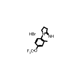 Br.Cc1cc(OC(F)(F)F)ccc1N1CCCC1=N